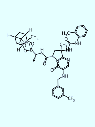 CC[C@H](NC(=O)[C@@H]1C[C@@](C)(NC(=O)Nc2ccccc2C)c2ncc(NCc3cccc(C(F)(F)F)c3)c(=O)n21)B1O[C@@H]2C[C@@H]3C[C@@H](C3(C)C)[C@]2(C)O1